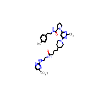 N#Cc1ccc(CCNC(=O)C2CCCN2c2cc(N3CCC(CCCC(=O)NCCNc4nccc(C(=O)O)n4)CC3)nc(C(F)(F)F)n2)cc1